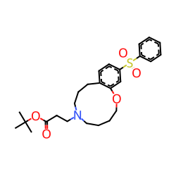 CC(C)(C)OC(=O)CCN1CCCCOc2cc(S(=O)(=O)c3ccccc3)ccc2CCC1